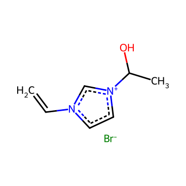 C=Cn1cc[n+](C(C)O)c1.[Br-]